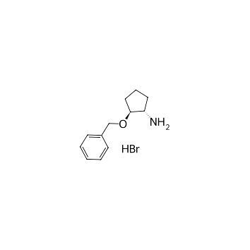 Br.N[C@H]1CCC[C@@H]1OCc1ccccc1